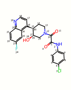 O=C(Nc1ccc(Cl)cc1)C(=O)N1CC[C@H](c2ccnc3ccc(F)cc23)[C@H](O)C1